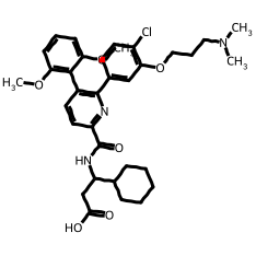 COc1cccc(OC)c1-c1ccc(C(=O)NC(CC(=O)O)C2CCCCC2)nc1-c1ccc(Cl)c(OCCCN(C)C)c1